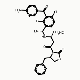 CC[C@@H](N[C@@H](C)CC(=O)N1C(=O)OC[C@H]1Cc1ccccc1)c1ccc(Cl)c(C(=O)c2ccc(N)nc2)c1F.Cl